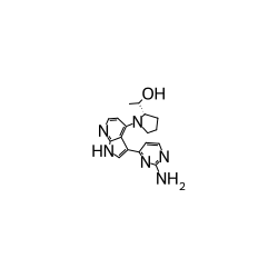 CC(O)[C@@H]1CCCN1c1ccnc2[nH]cc(-c3ccnc(N)n3)c12